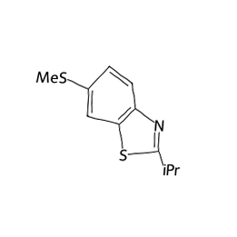 CSc1ccc2nc(C(C)C)sc2c1